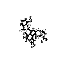 CCn1cc(-c2cc(Cn3ccn(C(F)F)c3=N)cc3c2CCN([C@@H](C)c2cc(OC)ccn2)C3=O)c(C(F)(F)F)n1